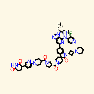 CC(C)n1cnc2cc(-c3ccc4c(c3)N([C@H]3C[C@@H](N5CCCCC5)C3)C(=O)C43CCN(C(=O)[C@H]4CCN(C(=O)C5CCN(c6ccc(C7CCC(=O)NC7=O)cn6)CC5)C4)CC3)nc(Nc3ccncc3F)c21